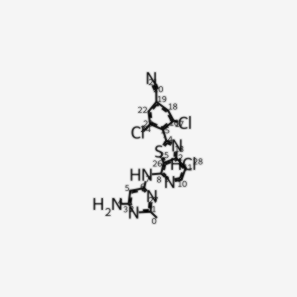 Cc1nc(N)cc(Nc2nccc3nc(-c4c(Cl)cc(C#N)cc4Cl)sc23)n1.Cl